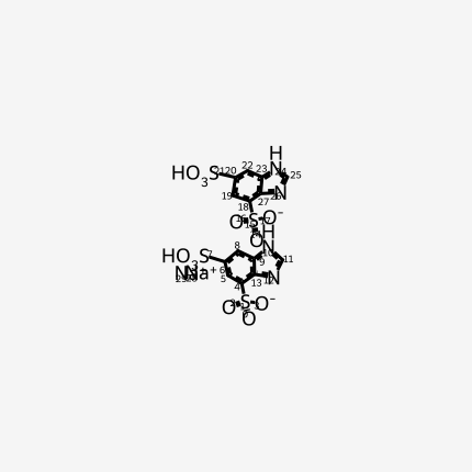 O=S(=O)([O-])c1cc(S(=O)(=O)O)cc2[nH]cnc12.O=S(=O)([O-])c1cc(S(=O)(=O)O)cc2[nH]cnc12.[Na+].[Na+]